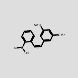 COc1cc(/C=C\c2ccccc2B(O)O)cc(OC)c1